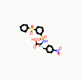 O=C(O)[C@@H](Cc1ccc([N+](=O)[O-])cc1)NS(=O)(=O)c1cccc(S(=O)(=O)c2ccccc2)c1